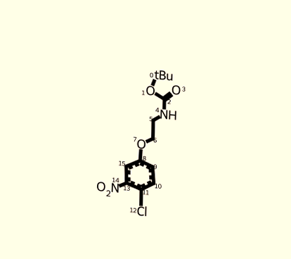 CC(C)(C)OC(=O)NCCOc1ccc(Cl)c([N+](=O)[O-])c1